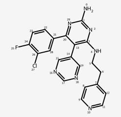 Nc1nc(NCCc2ccncc2)c(-c2cncnc2)c(-c2ccc(F)c(Cl)c2)n1